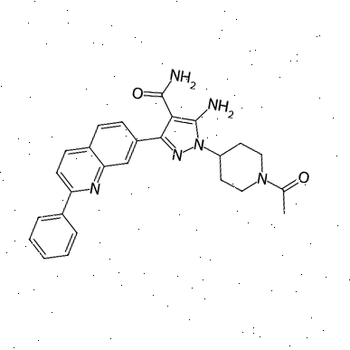 CC(=O)N1CCC(n2nc(-c3ccc4ccc(-c5ccccc5)nc4c3)c(C(N)=O)c2N)CC1